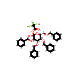 O=C(OC1(O)O[C@H](COCc2ccccc2)[C@H](OCc2ccccc2)[C@H](OCc2ccccc2)[C@H]1OCc1ccccc1)C(F)(F)F